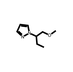 CCC(COC)n1cccn1